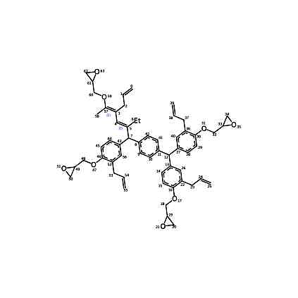 C=CCC(/C=C(\CC)C(c1ccc(C(c2ccc(OCC3CO3)c(CC=C)c2)c2ccc(OCC3CO3)c(CC=C)c2)cc1)c1ccc(OCC2CO2)c(CC=C)c1)=C(/C)OCC1CO1